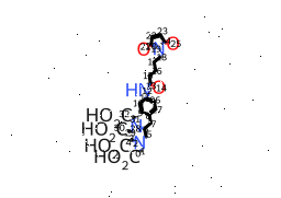 O=C(O)CN(CC(=O)O)CC(Cc1ccc(NC(=O)CCCCN2C(=O)C=CC2=O)cc1)N(CC(=O)O)CC(=O)O